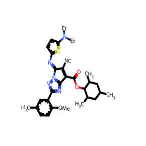 [C-]#[N+]C1=C(C(=O)OC2C(C)CC(C)CC2C)c2nc(-c3cc(C)ccc3OC)nn2/C1=N/c1ccc(N(CC)CC)s1